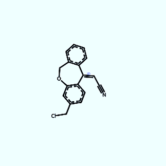 N#C/C=C1/c2ccccc2COc2cc(CCl)ccc21